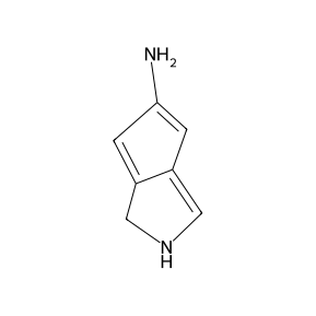 NC1=CC2=CNCC2=C1